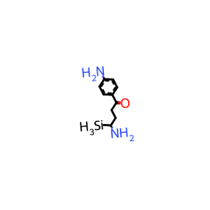 Nc1ccc(C(=O)CCC(N)[SiH3])cc1